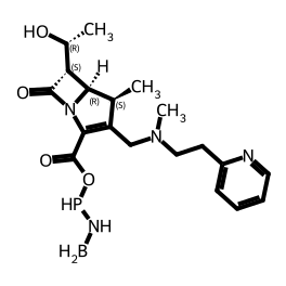 BNPOC(=O)C1=C(CN(C)CCc2ccccn2)[C@H](C)[C@@H]2[C@@H]([C@@H](C)O)C(=O)N12